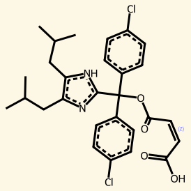 CC(C)Cc1nc(C(OC(=O)/C=C\C(=O)O)(c2ccc(Cl)cc2)c2ccc(Cl)cc2)[nH]c1CC(C)C